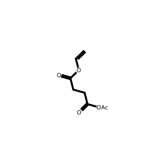 C=COC(=O)CCC(=O)OC(C)=O